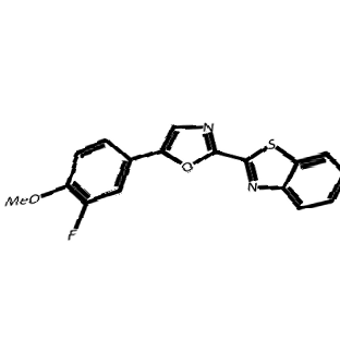 COc1ccc(-c2cnc(-c3nc4ccccc4s3)o2)cc1F